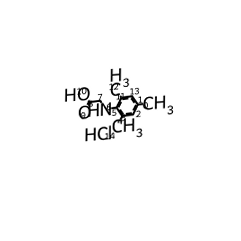 Cc1cc(C)c(NCC(=O)O)c(C)c1.Cl